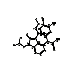 CCOC(=O)c1c(C)n(CC(C)C)c2cccc(C(C(=O)O)c3ccc(Cl)c(O)c3)c12